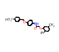 CC1CCC(C(C)C)C(OCC(=O)Nc2ccc(OCc3ccc(C(=O)O)cc3)cc2)C1